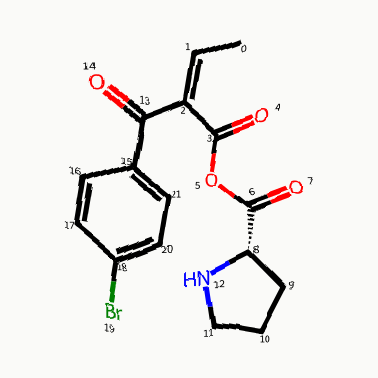 CC=C(C(=O)OC(=O)[C@@H]1CCCN1)C(=O)c1ccc(Br)cc1